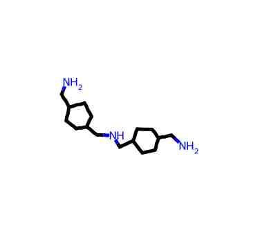 NCC1CCC(CNCC2CCC(CN)CC2)CC1